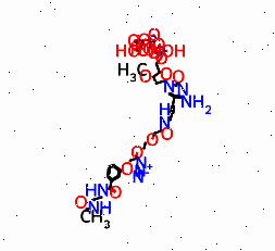 CO[C@H]1CC(n2cc(C#CCNC(=O)COCCOC(COc3cccc(C(=O)NCCNC(C)=O)c3)N=[N+]=[N-])c(N)nc2=O)OC1COP(=O)(O)OP(=O)(O)OP(=O)(O)O